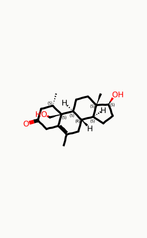 CC1=C2CC(=O)C[C@H](C)[C@]2(CO)[C@H]2CC[C@]3(C)[C@@H](O)CC[C@H]3[C@@H]2C1